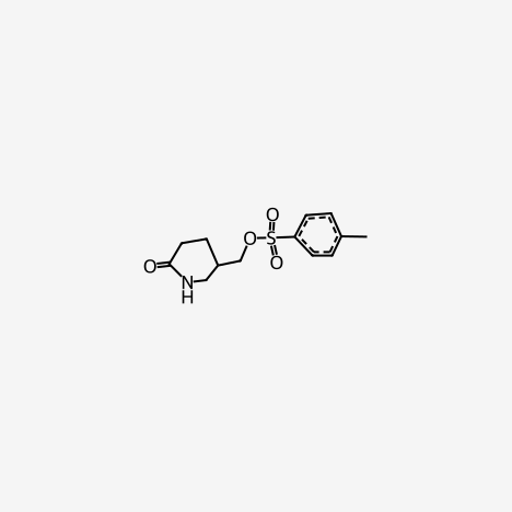 Cc1ccc(S(=O)(=O)OCC2CCC(=O)NC2)cc1